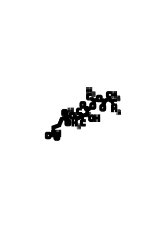 CC(OC(=O)C(C)C)OC(=O)[C@H](O)C(C)(C)COS(=O)(=O)CCC[SH](=O)=O